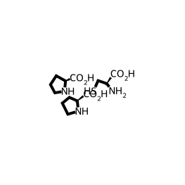 N[C@@H](CS)C(=O)O.O=C(O)[C@@H]1CCCN1.O=C(O)[C@@H]1CCCN1